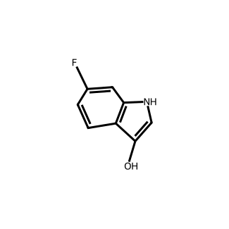 Oc1c[nH]c2cc(F)ccc12